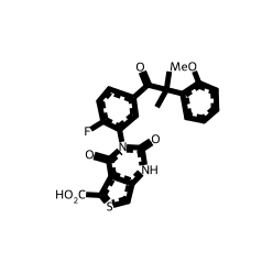 COc1ccccc1C(C)(C)C(=O)c1ccc(F)c(-n2c(=O)[nH]c3csc(C(=O)O)c3c2=O)c1